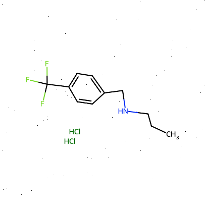 CCCNCc1ccc(C(F)(F)F)cc1.Cl.Cl